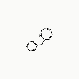 C1=CC=NN(Cc2ccccc2)C=C1